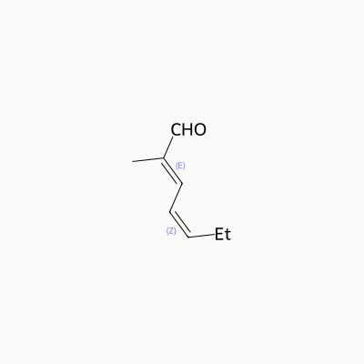 CC/C=C\C=C(/C)C=O